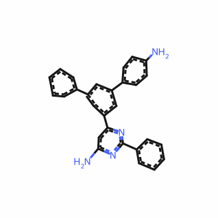 Nc1ccc(-c2cc(-c3ccccc3)cc(-c3cc(N)nc(-c4ccccc4)n3)c2)cc1